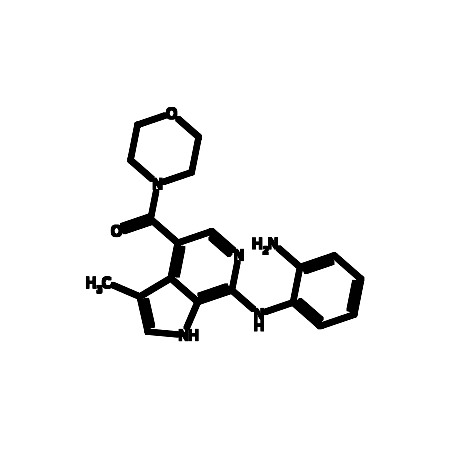 Cc1c[nH]c2c(Nc3ccccc3N)ncc(C(=O)N3CCOCC3)c12